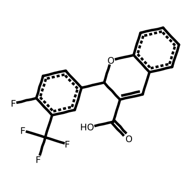 O=C(O)C1=Cc2ccccc2OC1c1ccc(F)c(C(F)(F)F)c1